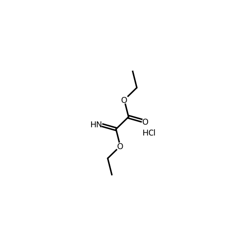 CCOC(=N)C(=O)OCC.Cl